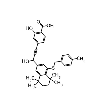 Cc1ccc(CSc2cc(C(O)C#Cc3ccc(C(=O)O)c(O)c3)cc3c2C(C)(C)CCC3(C)C)cc1